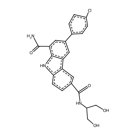 NC(=O)c1cc(-c2ccc(Cl)cc2)cc2c1[nH]c1ccc(C(=O)NC(CO)CO)cc12